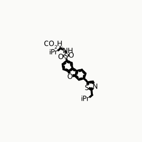 CC(C)Cc1ncc(-c2ccc3c(c2)oc2ccc(S(=O)(=O)N[C@@H](C(=O)O)C(C)C)cc23)s1